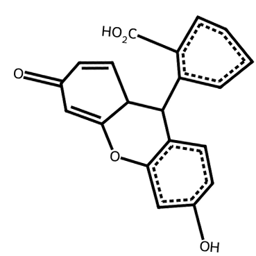 O=C1C=CC2C(=C1)Oc1cc(O)ccc1C2c1ccccc1C(=O)O